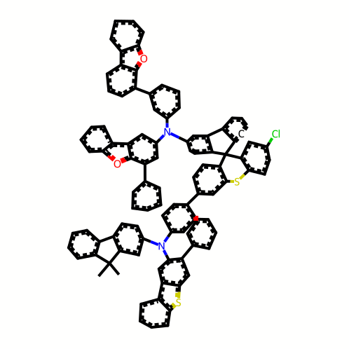 CC1(C)c2ccccc2-c2ccc(N(c3ccc(-c4ccc5c(c4)Sc4ccc(Cl)cc4C54c5ccccc5-c5cc(N(c6cccc(-c7cccc8c7oc7ccccc78)c6)c6cc(-c7ccccc7)c7oc8ccccc8c7c6)ccc54)cc3)c3cc4c(cc3-c3ccccc3)sc3ccccc34)cc21